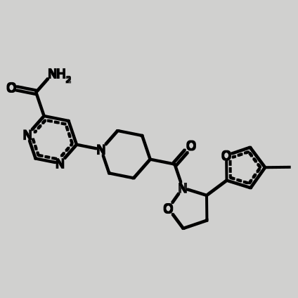 Cc1coc(C2CCON2C(=O)C2CCN(c3cc(C(N)=O)ncn3)CC2)c1